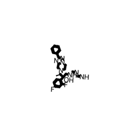 C[C@@H](N1CCn2nc(-c3ccccc3)nc2C1)[C@](O)(CN/C=N\C=N)c1ccc(F)cc1F